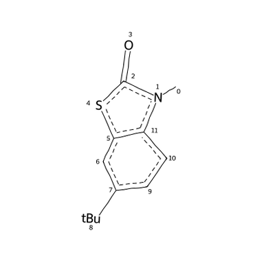 Cn1c(=O)sc2cc(C(C)(C)C)ccc21